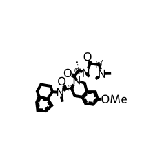 COc1ccc2c(c1)CN(C(=O)[C@H](C)N(C)C(=O)[C@H](C)N(C)C)[C@H](C(=O)N(C)C1CCCc3ccccc31)C2